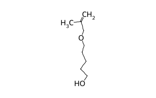 C=C(C)COCCCCCO